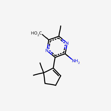 Cc1nc(N)c(C2=CCCC2(C)C)nc1C(=O)O